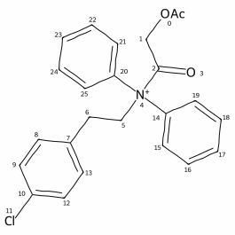 CC(=O)OCC(=O)[N+](CCc1ccc(Cl)cc1)(c1ccccc1)c1ccccc1